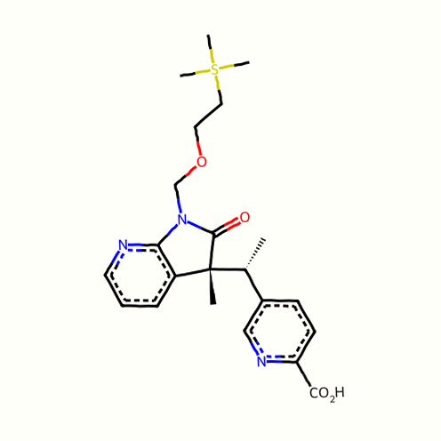 C[C@H](c1ccc(C(=O)O)nc1)[C@@]1(C)C(=O)N(COCCS(C)(C)C)c2ncccc21